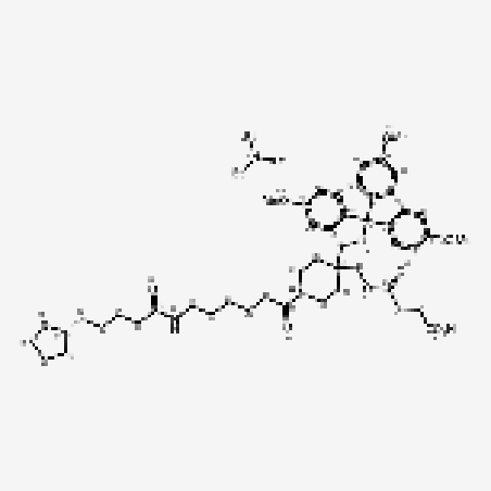 CCN(CC)CC.COc1ccc(C(OCC2(COC(=O)CCC(=O)O)CCN(C(=O)CCCCCNC(=O)CCCC[C@@H]3CCSS3)CC2)(c2ccc(OC)cc2)c2ccc(OC)cc2)cc1